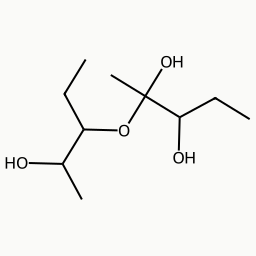 CCC(OC(C)(O)C(O)CC)C(C)O